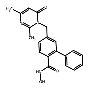 Cc1cc(=O)n(Cc2ccc(C(=O)NO)c(-c3ccccc3)c2)c(C)n1